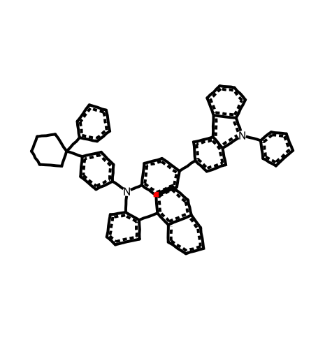 c1ccc(-n2c3ccccc3c3cc(-c4ccc(N(c5ccc(C6(c7ccccc7)CCCCC6)cc5)c5ccccc5-c5cccc6ccccc56)cc4)ccc32)cc1